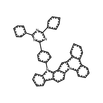 c1ccc(-c2nc(-c3ccccc3)nc(-c3ccc(-n4c5ccccc5c5ccc6c(cc7c8ccccc8c8ccccc8n76)c54)cc3)n2)cc1